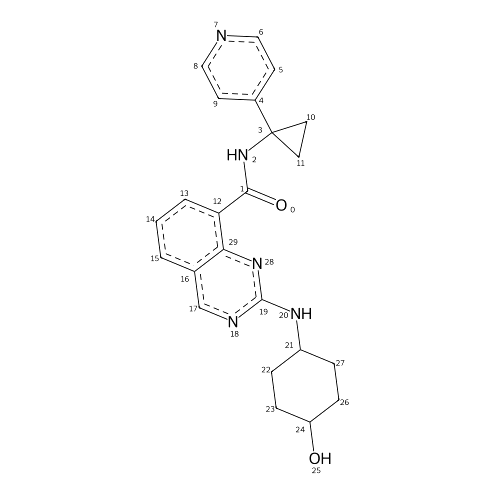 O=C(NC1(c2ccncc2)CC1)c1cccc2cnc(NC3CCC(O)CC3)nc12